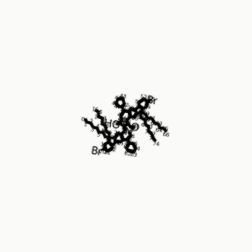 CCCCCCCCC1(CCCCCCCC)c2cc(Br)ccc2-c2cc3c(cc21)C1=C2C(=C4c5cc6c(cc5C(c5ccccc5)=CN4C2O)-c2ccc(Br)cc2C6(CCCCCCCC)CCCCCCCC)C(=O)N1C=C3c1ccccc1